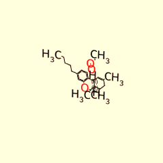 CCCCCc1cc(OOCC)c2c(c1)OC(C)(C)[C@@H]1CCC(C)=C[C@@H]21